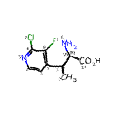 CC(c1ccnc(Cl)c1F)[C@@H](N)C(=O)O